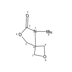 CC(C)(C)N1C(=O)OCC12COC2